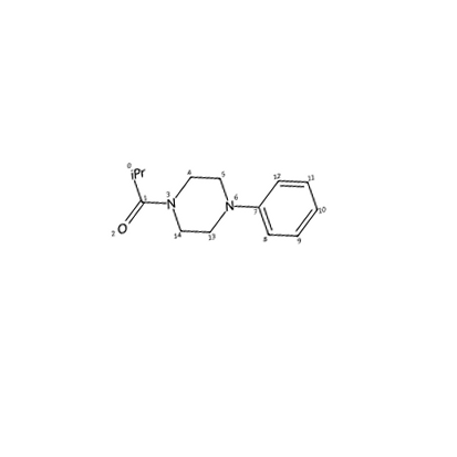 CC(C)C(=O)N1CCN(c2ccccc2)CC1